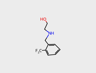 OCCNCc1ccccc1C(F)(F)F